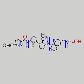 Cc1c(Nc2nccc3cc(CNCCO)cnc23)cccc1-c1cccc(NC(=O)c2ccc(C=O)cn2)c1F